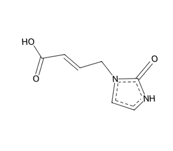 O=C(O)C=CCn1cc[nH]c1=O